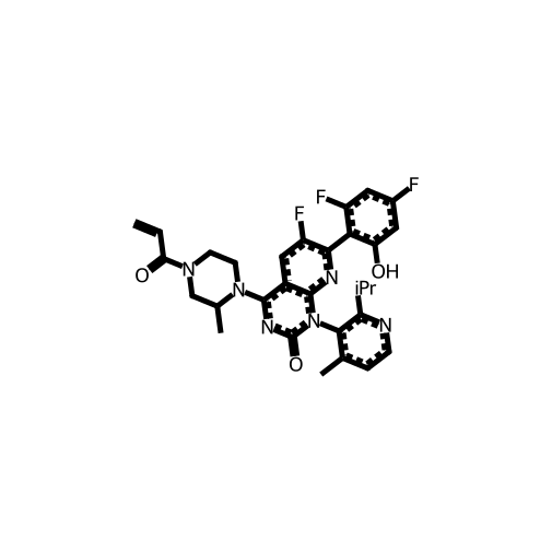 C=CC(=O)N1CCN(c2nc(=O)n(-c3c(C)ccnc3C(C)C)c3nc(-c4c(O)cc(F)cc4F)c(F)cc23)C(C)C1